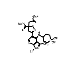 CCn1nc(C)c2c(NC3CCS(O)(O)CC3)c(C3=NOC(CC(=O)NC)(C(=O)NC)C3)cnc21